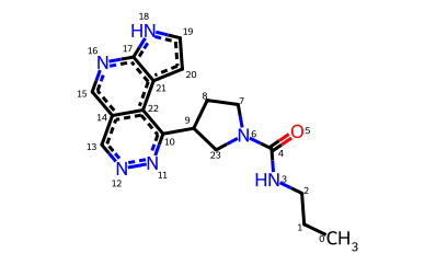 CCCNC(=O)N1CCC(c2nncc3cnc4[nH]ccc4c23)C1